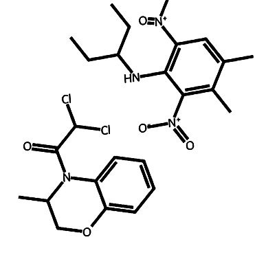 CC1COc2ccccc2N1C(=O)C(Cl)Cl.CCC(CC)Nc1c([N+](=O)[O-])cc(C)c(C)c1[N+](=O)[O-]